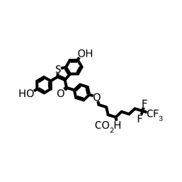 O=C(c1ccc(OCCCC(CCCC(F)(F)C(F)(F)F)C(=O)O)cc1)c1c(-c2ccc(O)cc2)sc2cc(O)ccc12